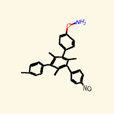 Cc1ccc(-c2c(C)c(-c3ccc(N=O)cc3)c(C)c(-c3ccc(ON)cc3)c2C)cc1